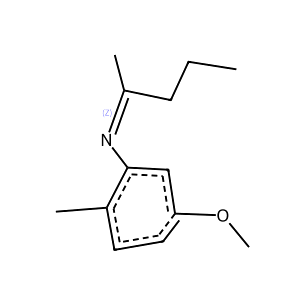 CCC/C(C)=N\c1cc(OC)ccc1C